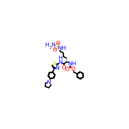 NS(=O)(=O)NCCCC[C@H](NC(=O)OCc1ccccc1)C(=O)Nc1nc(-c2ccc(N3CCCC3)cc2)cs1